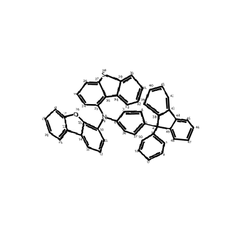 c1ccc(C2(c3ccc(N(c4cccc5c4oc4ccccc45)c4cccc5sc6ccccc6c45)cc3)c3ccccc3-c3ccccc32)cc1